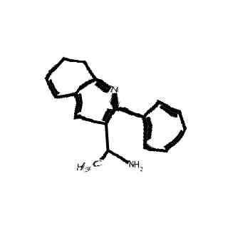 CC(N)c1cc2c(nc1-c1ccccc1)CCC=C2